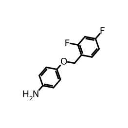 Nc1ccc(OCc2ccc(F)cc2F)cc1